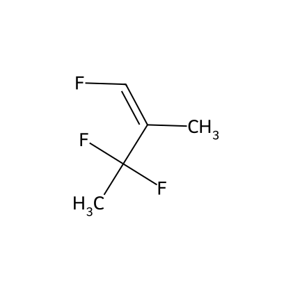 CC(=CF)C(C)(F)F